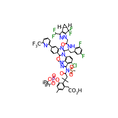 Cc1cc(CC(=O)O)c(C(C)(C)CC(=O)N(c2nn(C)c3c(-n4c([C@H](Cc5cc(F)cc(F)c5)NC(=O)Cn5nc(C(F)F)c6c5C(F)(F)[C@@H]5C[C@H]65)nc5cc(-c6cccc(C(F)(F)F)n6)ccc5c4=O)ccc(Cl)c23)S(C)(=O)=O)c(OP(=O)(OC(C)C)OC(C)C)c1